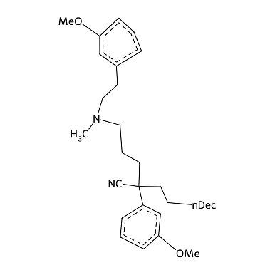 CCCCCCCCCCCCC(C#N)(CCCN(C)CCc1cccc(OC)c1)c1cccc(OC)c1